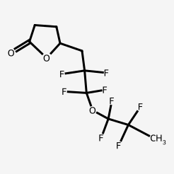 CC(F)(F)C(F)(F)OC(F)(F)C(F)(F)CC1CCC(=O)O1